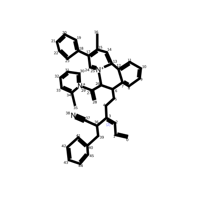 C=C/C=C(/CCC1c2ccccc2-c2cc(C)c(-c3ccccc3)c[n+]2C1C(=C)[n+]1ccccc1C)C(C#N)Cc1ccccc1